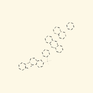 CC1(C)c2cc(-c3c4ccccc4c(-c4ccc(-c5ccccc5)c5ccccc45)c4ccccc34)ccc2-c2c1ccc1c2ccc2c3ccccc3sc12